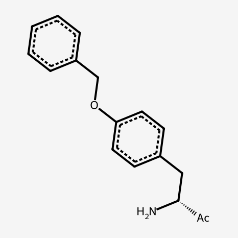 CC(=O)[C@H](N)Cc1ccc(OCc2ccccc2)cc1